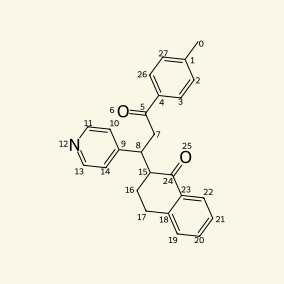 Cc1ccc(C(=O)CC(c2ccncc2)C2CCc3ccccc3C2=O)cc1